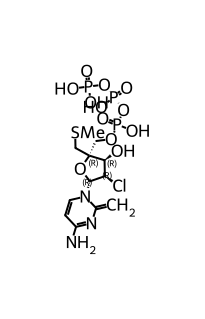 C=C1N=C(N)C=CN1[C@@H]1O[C@@](COP(=O)(O)OP(=O)(O)OP(=O)(O)O)(CSC)[C@@H](O)[C@H]1Cl